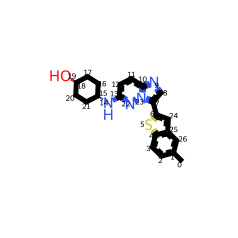 Cc1ccc2sc(-c3cnc4ccc(N[C@H]5CC[C@H](O)CC5)nn34)cc2c1